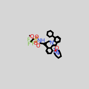 COC(C(F)(F)F)S(=O)(=O)NC(=O)C1=C2Cn3c(cc4cccc(C5CCCCC5)c43)C3C(=C21)C=CC[C@H]3C(=O)N1C2CCC1CN(C)C2